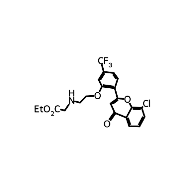 CCOC(=O)CNCCOc1cc(C(F)(F)F)ccc1-c1cc(=O)c2cccc(Cl)c2o1